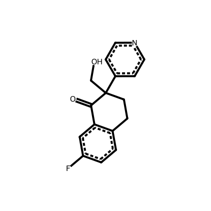 O=C1c2cc(F)ccc2CCC1(CO)c1ccncc1